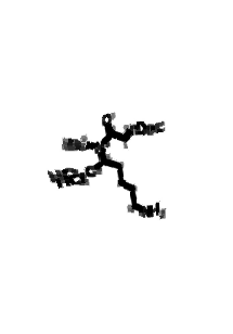 CCCCCCCCCCCC(=O)N(C(C)CC)[C@@H](CCCCN)C(=O)O.Cl